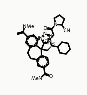 C=C(NC)c1ccc2c(c1)CCc1cc(C(=O)NC)ccc1C2(C[C@@H](NCC(=O)N1CCCC1C#N)C1CCCCC1)c1nnn[nH]1